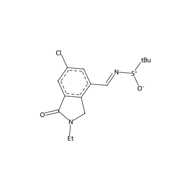 CCN1Cc2c(C=N[S+]([O-])C(C)(C)C)cc(Cl)cc2C1=O